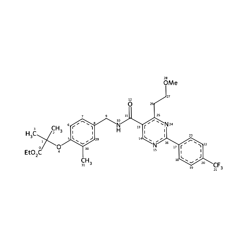 CCOC(=O)C(C)(C)Oc1ccc(CNC(=O)c2cnc(-c3ccc(C(F)(F)F)cc3)nc2CCOC)cc1C